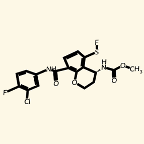 COC(=O)N[C@@H]1CCOc2c(C(=O)Nc3ccc(F)c(Cl)c3)ccc(SF)c21